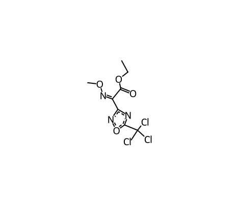 CCOC(=O)C(=NOC)c1noc(C(Cl)(Cl)Cl)n1